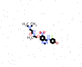 CCN(CC)CCC(=O)NC(C)COc1cc2ncnc(Nc3ccc(Br)cc3F)c2cc1[N+](=O)[O-]